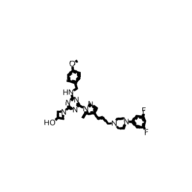 COc1ccc(CNc2nc(N3CC(O)C3)nc(-n3ncc(/C=C/CN4CCN(c5cc(F)cc(F)c5)CC4)c3C)n2)cc1